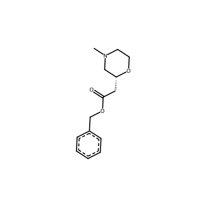 CN1CCO[C@H](CC(=O)OCc2ccccc2)C1